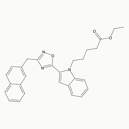 CCOC(=O)CCCCn1c(-c2nc(Cc3ccc4ccccc4c3)no2)cc2ccccc21